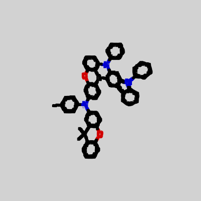 Cc1ccc(N(c2ccc3c(c2)Oc2cccc4c2B3c2cc3c5ccccc5n(-c5ccccc5)c3cc2N4c2ccccc2)c2ccc3c(c2)C(C)(C)c2ccccc2O3)cc1